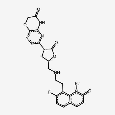 CCn1c(=O)ccc2ccc(F)c(CCNC[C@H]3CN(c4cnc5c(n4)NC(=O)CO5)C(=O)O3)c21